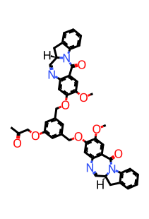 COc1cc2c(cc1OCc1cc(COc3cc4c(cc3OC)C(=O)N3c5ccccc5C[C@H]3C=N4)cc(OCC(C)=O)c1)N=C[C@@H]1Cc3ccccc3N1C2=O